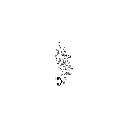 C[C@]12C=CC(=O)C=C1CC[C@@H]1[C@@H]2C(=O)C[C@@]2(C)[C@H]1CC[C@]2(O)C(=O)COP(=O)(O)O